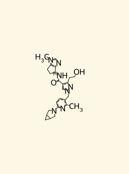 Cc1nc(N2CC3CC3C2)ccc1Cn1cc(C(=O)N[C@@H]2CCc3c2ncn3C)c(CCO)n1